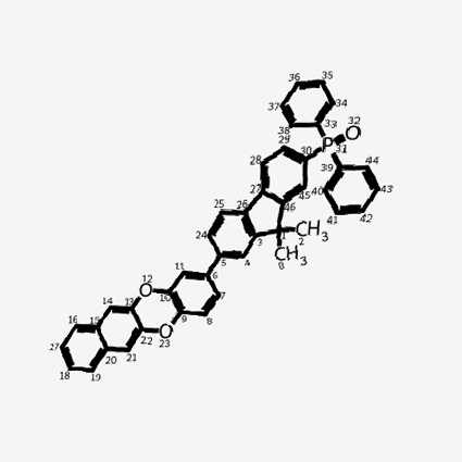 CC1(C)c2cc(-c3ccc4c(c3)Oc3cc5ccccc5cc3O4)ccc2-c2ccc(P(=O)(c3ccccc3)c3ccccc3)cc21